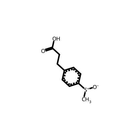 C[S+]([O-])c1ccc(CCC(=O)O)cc1